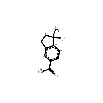 NC1(O)CCc2cc(C(=O)O)ccc21